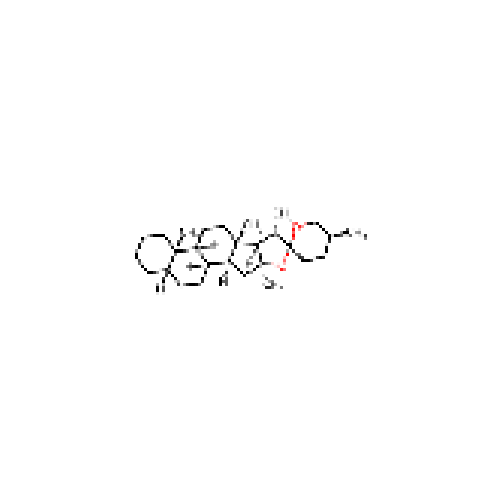 C[C@H]1CC[C@@]2(OC1)O[C@@]1(C)C[C@H]3[C@@H]4CC[C@@H]5CCCC[C@]5(C)[C@H]4CC[C@]3(C)[C@H]1[C@@H]2C